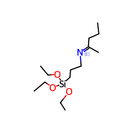 CCC/C(C)=N/CCC[Si](OCC)(OCC)OCC